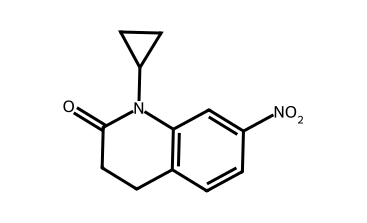 O=C1CCc2ccc([N+](=O)[O-])cc2N1C1CC1